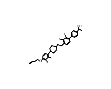 C=CCCOc1ccc(C2CCC(CCc3ccc(-c4ccc(C(C)O)cc4)c(F)c3F)CC2)c(F)c1F